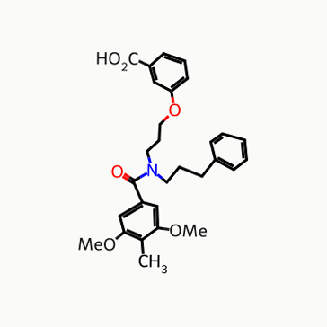 COc1cc(C(=O)N(CCCOc2cccc(C(=O)O)c2)CCCc2ccccc2)cc(OC)c1C